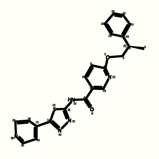 C[C@@H](COc1ccc(C(=O)Nc2nnc(-c3ccncc3)s2)cn1)c1ccccc1